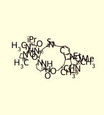 CCn1c(-c2cccnc2[C@H](C)OC)c2c3cc(ccc31)-c1csc(n1)C[C@H](NC(=O)[C@H](C(C)C)N(C)C(=O)N1CC[C@H]1C)C(=O)N1CCC[C@H](N1)C(=O)OCC(C)(C)C2